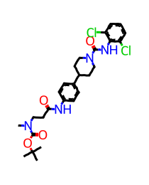 CN(CCC(=O)Nc1ccc(C2CCN(C(=O)Nc3c(Cl)cccc3Cl)CC2)cc1)C(=O)OC(C)(C)C